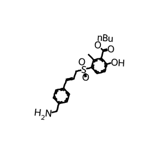 CCCCOC(=O)c1c(O)ccc(S(=O)(=O)CC=Cc2ccc(CN)cc2)c1C